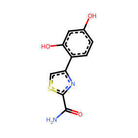 NC(=O)c1nc(-c2ccc(O)cc2O)cs1